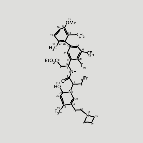 CCOC(=O)C[C@H](NC(=O)C(CC(C)C)N1C=C(CCN2CCC2)C(C(F)(F)F)=CC1O)c1cc(-c2c(C)ccc(OC)c2C)cc(C(F)(F)F)c1F